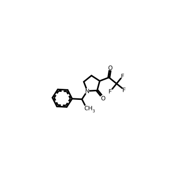 CC(c1ccccc1)N1CCC(C(=O)C(F)(F)F)C1=O